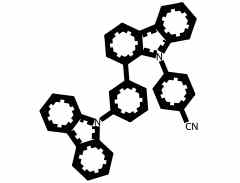 N#Cc1ccc(-n2c3ccccc3c3cccc(-c4cccc(-n5c6ccccc6c6ccccc65)c4)c32)cc1